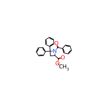 COC(=O)C1CC(c2ccccc2)(c2ccccc2)N1C(=O)c1ccccc1